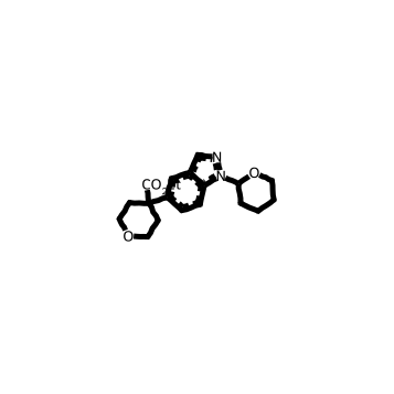 CCOC(=O)C1(c2ccc3c(cnn3C3CCCCO3)c2)CCOCC1